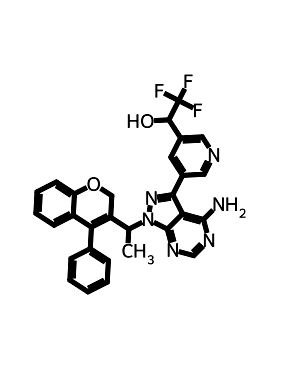 CC(C1=C(c2ccccc2)c2ccccc2OC1)n1nc(-c2cncc(C(O)C(F)(F)F)c2)c2c(N)ncnc21